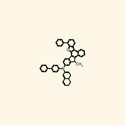 CC1c2cc(N(C3=CCC4CCC=CC4=C3)c3ccc(-c4ccccc4)cc3)ccc2-c2c1c1ccccc1c1c2oc2c(-c3ccccc3)cccc21